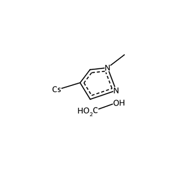 Cn1c[c]([Cs])cn1.O=C(O)O